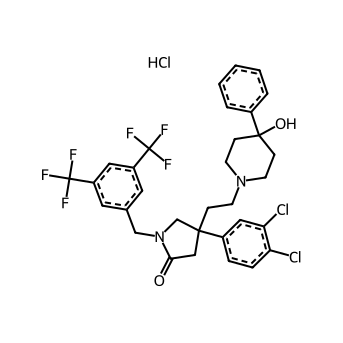 Cl.O=C1CC(CCN2CCC(O)(c3ccccc3)CC2)(c2ccc(Cl)c(Cl)c2)CN1Cc1cc(C(F)(F)F)cc(C(F)(F)F)c1